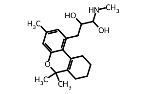 CNC(O)C(O)Cc1cc(C)cc2c1C1=C(CCCC1)C(C)(C)O2